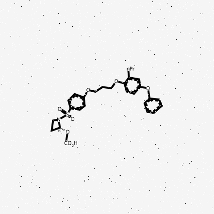 CCCc1cc(Oc2ccccc2)ccc1OCCCOc1ccc(S(=O)(=O)N2CC[C@H]2OC(=O)O)cc1